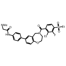 CCc1c(C(=O)N2CCOc3ccc(-c4ccc(NC(=O)CNC)cc4)cc3C2)ccc(S(=O)(=O)CC)c1F